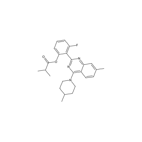 Cc1ccc2c(N3CCC(C)CC3)nc(-c3c(F)cccc3OC(=O)C(C)C)nc2c1